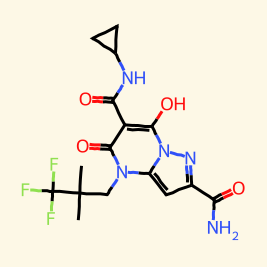 CC(C)(Cn1c(=O)c(C(=O)NC2CC2)c(O)n2nc(C(N)=O)cc12)C(F)(F)F